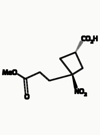 COC(=O)CC[C@]1([N+](=O)[O-])C[C@H](C(=O)O)C1